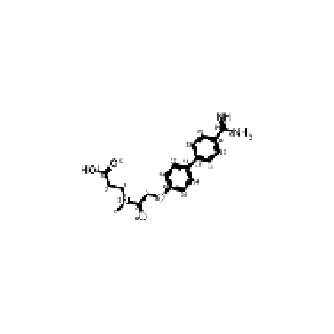 CN(CCC(=O)O)C(=O)COc1ccc(-c2ccc(C(=N)N)cc2)cc1